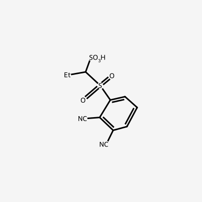 CCC(S(=O)(=O)O)S(=O)(=O)c1cccc(C#N)c1C#N